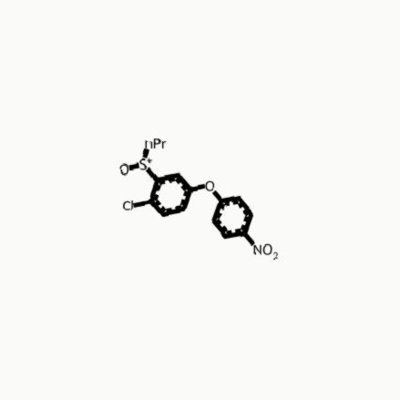 CCC[S+]([O-])c1cc(Oc2ccc([N+](=O)[O-])cc2)ccc1Cl